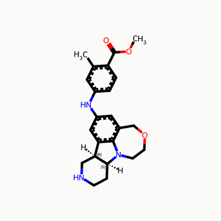 COC(=O)c1ccc(Nc2cc3c4c(c2)[C@@H]2CNCC[C@@H]2N4CCOC3)cc1C